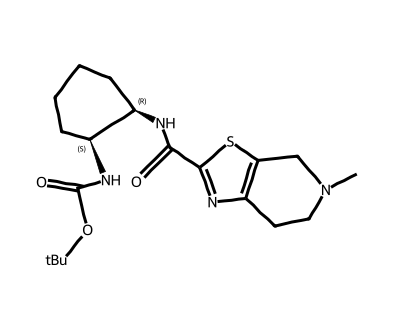 CN1CCc2nc(C(=O)N[C@@H]3CCCC[C@@H]3NC(=O)OC(C)(C)C)sc2C1